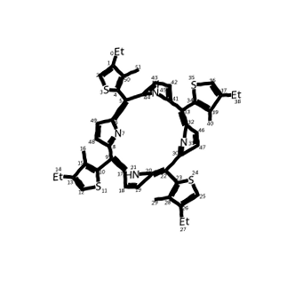 CCc1csc(-c2c3nc(c(-c4scc(CC)c4C)c4ccc([nH]4)c(-c4scc(CC)c4C)c4nc(c(-c5scc(CC)c5C)c5ccc2[nH]5)C=C4)C=C3)c1C